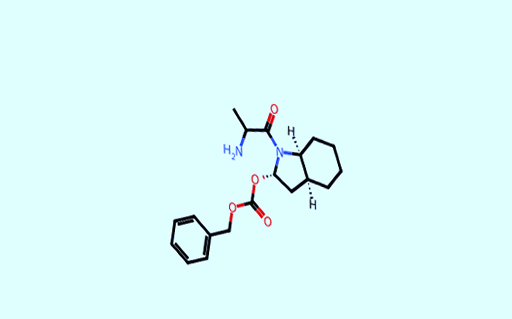 CC(N)C(=O)N1[C@@H](OC(=O)OCc2ccccc2)C[C@@H]2CCCC[C@@H]21